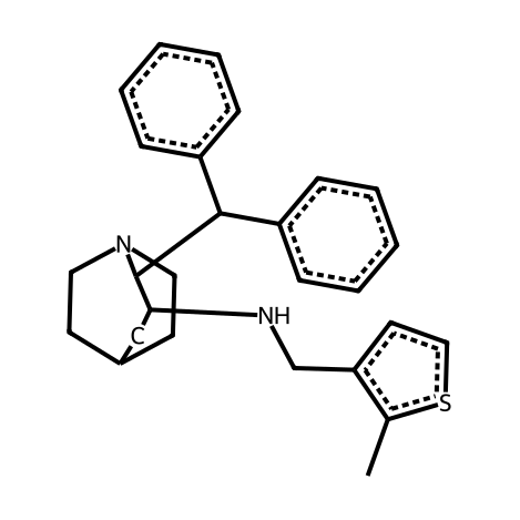 Cc1sccc1CNC1CC2CCN(CC2)C1C(c1ccccc1)c1ccccc1